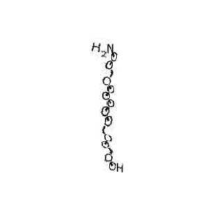 NOOCOOOOOOCOOCOO